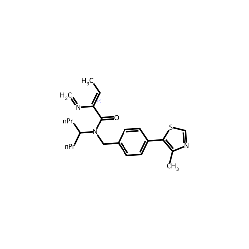 C=N/C(=C\C)C(=O)N(Cc1ccc(-c2scnc2C)cc1)C(CCC)CCC